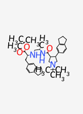 C[C@@H](CN[C@@H](Cc1ccc2c(c1)CCC2)C(=O)OC(C)(C)C)NC(=O)C1CN(C(C)(C)C)CC1c1ccc2c(c1)CCC2